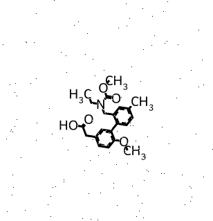 CCN(Cc1cc(C)ccc1-c1cc(CC(=O)O)ccc1OC)C(=O)OC